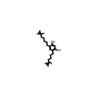 CC1(CCCCCc2cc(CCCCC3(C)CC3)c(O)cc2O)CC1